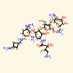 NC[C@@H](F)[C@H](O)C(=O)N[C@@H]1C[C@H](N)[C@@H](O[C@H]2O[C@H](CNCC3CC(N)C3)CC[C@H]2N)[C@H](O[C@@H]2O[C@H](CO)[C@@H](O[C@H]3O[C@@H](CN)[C@@H](O)[C@H](O)[C@H]3N)[C@H]2O)[C@H]1O